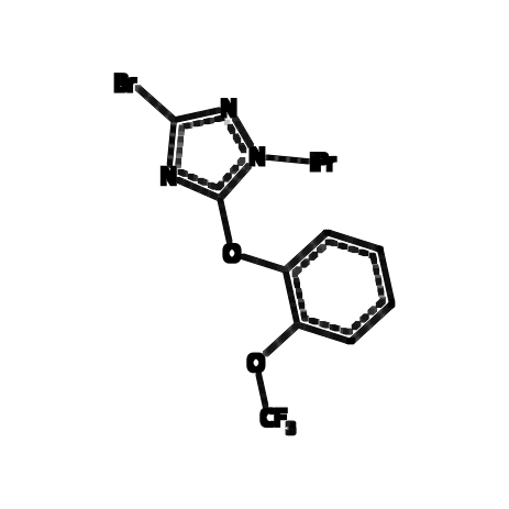 CC(C)n1nc(Br)nc1Oc1ccccc1OC(F)(F)F